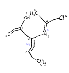 C/C=C(\N=C(/C)Cl)C(=O)O